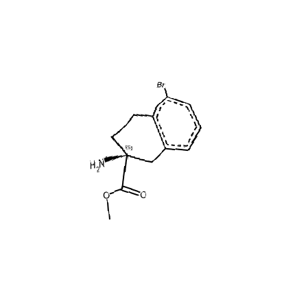 COC(=O)[C@]1(N)CCc2c(Br)cccc2C1